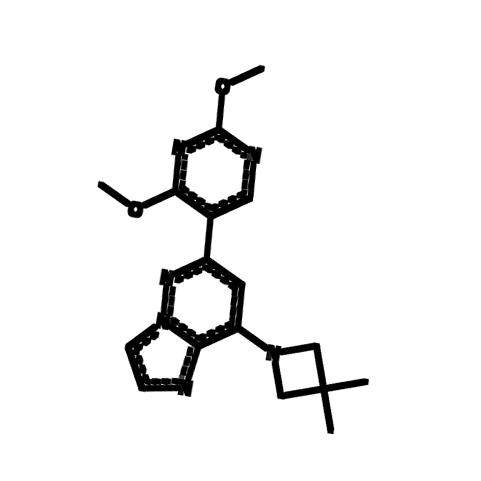 COc1ncc(-c2cc(N3CC(C)(C)C3)c3nccn3n2)c(OC)n1